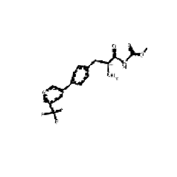 COC(=O)NC(=O)[C@@H](N)Cc1ccc(-c2cncc(C(F)(F)F)c2)cc1